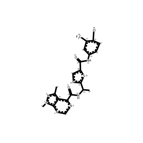 Cc1nn(C)c2ncnc(C(=O)NC(C)c3ncc(C(=O)Nc4ccc(Cl)c(C(F)(F)F)c4)s3)c12